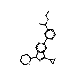 CCOC(=O)c1cccc(-c2ccc3c(c2)C(C2CC2)=NC3C2CCCCO2)c1